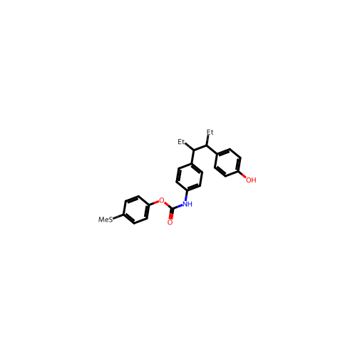 CCC(c1ccc(O)cc1)C(CC)c1ccc(NC(=O)Oc2ccc(SC)cc2)cc1